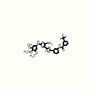 COc1cc(Nc2nc(N)c(-c3nc(-c4cccc(NC(=O)c5cccc(C(F)(F)F)c5)c4)no3)s2)cc(OC)c1OC